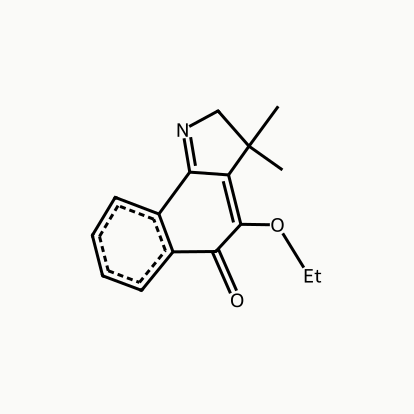 CCOC1=C2C(=NCC2(C)C)c2ccccc2C1=O